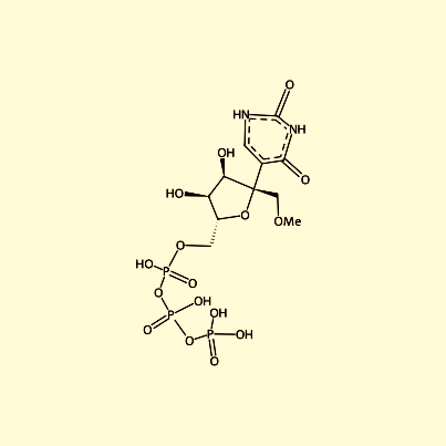 COC[C@@]1(c2c[nH]c(=O)[nH]c2=O)O[C@H](COP(=O)(O)OP(=O)(O)OP(=O)(O)O)[C@@H](O)[C@H]1O